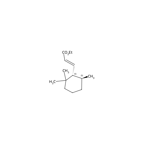 CCOC(=O)C=C[C@@H]1[C@@H](C)CCCC1(C)C